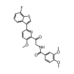 COc1ccc(C(=O)NCC(=O)c2nc(-c3csc4c(F)cccc34)ccc2OC)cc1OC